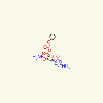 Nc1ncn([C@H]2C[C@H](OP(N)O)[C@@H](COC(=O)COc3ccccc3)O2)c(=O)n1